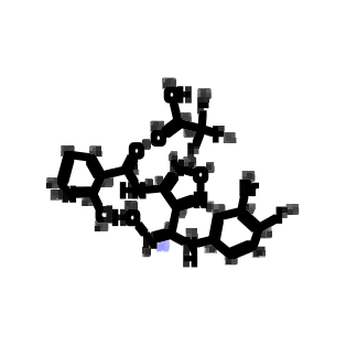 O=C(Nc1nonc1/C(=N\O)Nc1ccc(F)c(Br)c1)c1cccnc1Cl.O=C(O)C(F)(F)F